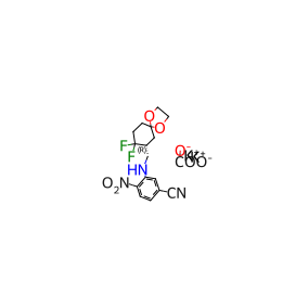 N#Cc1ccc([N+](=O)[O-])c(NC[C@H]2CC3(CCC2(F)F)OCCO3)c1.O=C([O-])[O-].[K+].[K+]